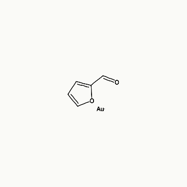 O=Cc1ccco1.[Au]